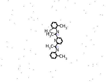 C/C(=N\c1ccccc1C)c1cccc(/C(C)=N/c2c(C)cccc2C)n1